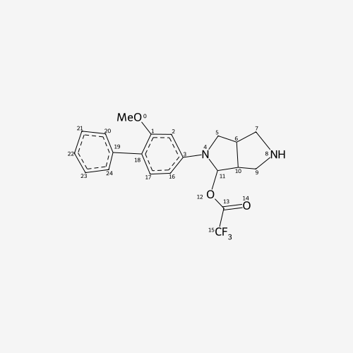 COc1cc(N2CC3CNCC3C2OC(=O)C(F)(F)F)ccc1-c1ccccc1